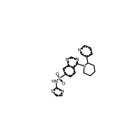 O=S(=O)(Nc1nccs1)c1ccc2c(N3CCCCC3c3cccnc3)ncnc2c1